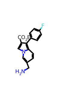 CCOC(=O)c1cn2cc(CN)ccc2c1-c1ccc(F)cc1